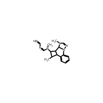 CC1C2c3ccccc3N3N=CN(C)C3C2C1N(C)/C=N\C=N